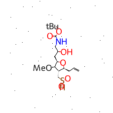 C=CC[C@@H]1O[C@H](C[C@H](O)CNC(=O)OC(C)(C)C)[C@H](OC)[C@H]1C[SH](=O)=O